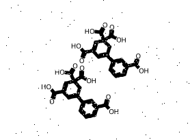 O=C(O)C1=CC(C(=O)O)(C(=O)O)CC(c2cccc(C(=O)O)c2)=C1.O=C(O)C1=CC(C(=O)O)(C(=O)O)CC(c2cccc(C(=O)O)c2)=C1